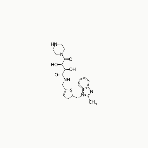 Cc1nc2ccccc2n1CC1CC=C(CNC(=O)[C@H](O)[C@@H](O)C(=O)N2CCNCC2)S1